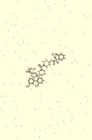 CCc1cccc(-c2c(Cl)cccc2C(O)(CCCNC(=O)O)[C@@H]2CCCN(C(=O)N3CCC(CNS(=O)(=O)c4ccccc4[N+](=O)[O-])CC3)C2)c1